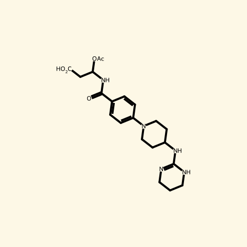 CC(=O)OC(CC(=O)O)NC(=O)c1ccc(N2CCC(NC3=NCCCN3)CC2)cc1